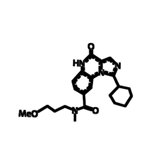 COCCCN(C)C(=O)c1ccc2[nH]c(=O)c3cnc(C4CCCCC4)n3c2c1